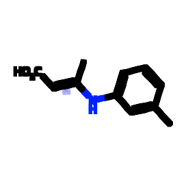 C/C(=C\C(=O)O)Nc1cccc(C)c1